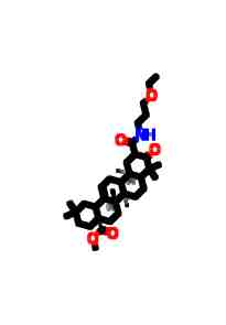 CCOCCCNC(=O)C1C[C@@]2(C)C(CC[C@]3(C)C2CC=C2C4CC(C)(C)CC[C@]4(C(=O)OC)CC[C@]23C)C(C)(C)C1=O